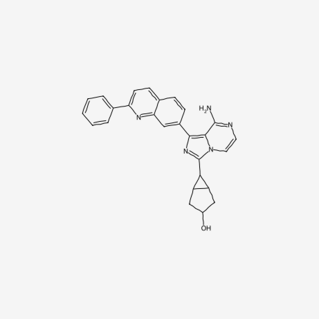 Nc1nccn2c(C3C4CC(O)CC43)nc(-c3ccc4ccc(-c5ccccc5)nc4c3)c12